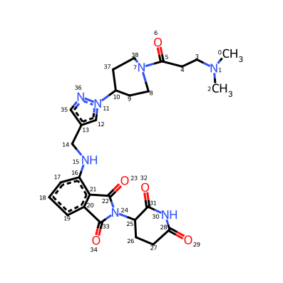 CN(C)CCC(=O)N1CCC(n2cc(CNc3cccc4c3C(=O)N(C3CCC(=O)NC3=O)C4=O)cn2)CC1